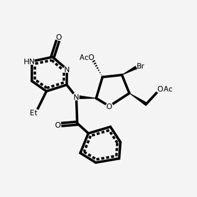 CCc1c[nH]c(=O)nc1N(C(=O)c1ccccc1)[C@@H]1O[C@H](COC(C)=O)[C@H](Br)[C@H]1OC(C)=O